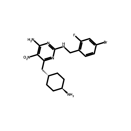 Nc1nc(NCc2ccc(Br)cc2F)nc(C[C@H]2CC[C@H](N)CC2)c1[N+](=O)[O-]